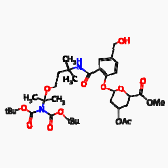 COC(=O)C1CC(OC(C)=O)CC(Oc2ccc(CO)cc2C(=O)NC(C)(C)CCOC(C)(C)N(C(=O)OC(C)(C)C)C(=O)OC(C)(C)C)O1